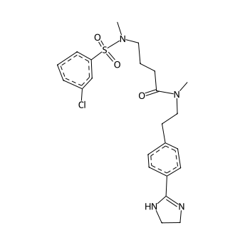 CN(CCc1ccc(C2=NCCN2)cc1)C(=O)CCCN(C)S(=O)(=O)c1cccc(Cl)c1